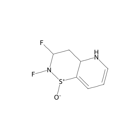 [O-][S+]1C2=CC=CNC2CC(F)N1F